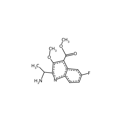 COC(=O)c1c(OC)c(C(C)N)nc2ccc(F)cc12